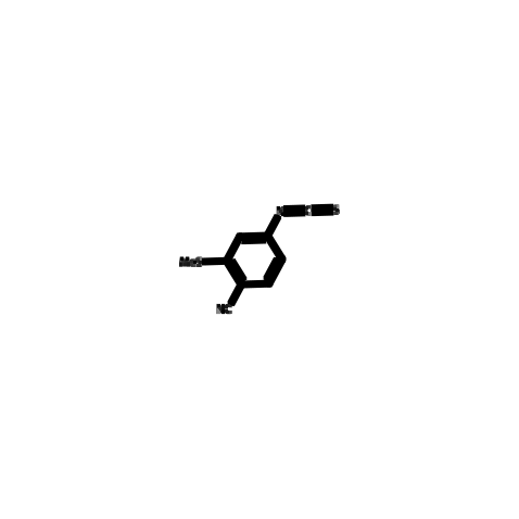 CSc1cc(N=C=S)ccc1C#N